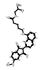 CCCCC(CC)COC(=O)CCCCOc1cccc2ccc(C3C(=O)c4ccc(OCC)cc4C3=O)nc12